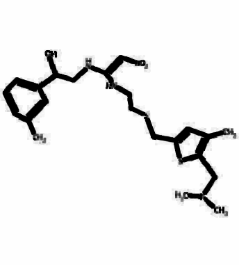 Cc1cccc(C(O)CNC(=C[N+](=O)[O-])NCCSCc2cc(C)c(CN(C)C)s2)c1